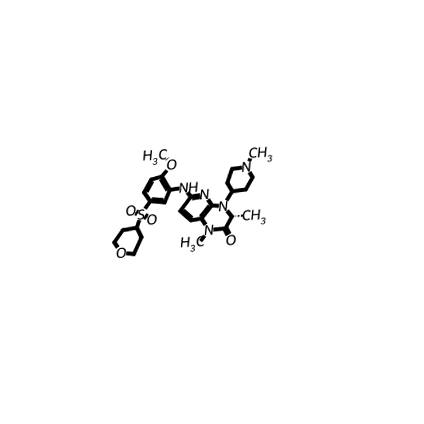 COc1ccc(S(=O)(=O)C2CCOCC2)cc1Nc1ccc2c(n1)N(C1CCN(C)CC1)[C@H](C)C(=O)N2C